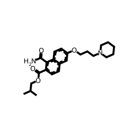 CC(C)COC(=O)c1ccc2cc(OCCCN3CCCCC3)ccc2c1C(N)=O